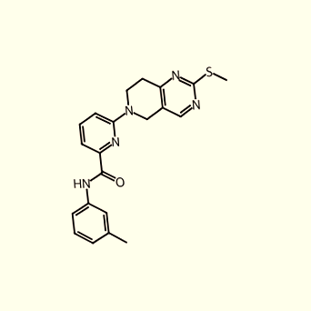 CSc1ncc2c(n1)CCN(c1cccc(C(=O)Nc3cccc(C)c3)n1)C2